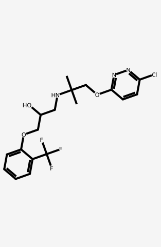 CC(C)(COc1ccc(Cl)nn1)NCC(O)COc1ccccc1C(F)(F)F